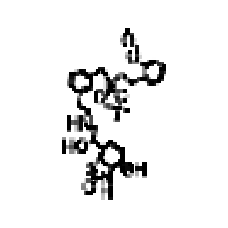 COCOc1ccccc1CCN(Cc1cccc(CCNC[C@H](O)c2ccc(O)c3[nH]c(=O)sc23)c1)C(=O)OC(C)(C)C